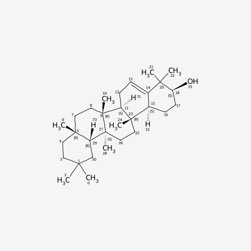 CC1(C)CC[C@]2(C)CC[C@]3(C)[C@H]4CC=C5[C@@H](CC[C@H](O)C5(C)C)[C@]4(C)CC[C@@]3(C)[C@@H]2C1